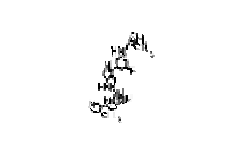 Cc1ccncc1-c1ccc2[nH]nc(-c3cc4c(-c5cc(F)cc(NCCN(C)C)c5)nccc4[nH]3)c2n1